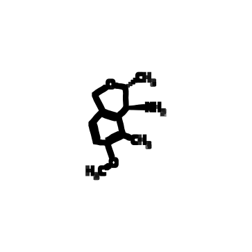 COc1ccc2c(c1C)[C@H](N)[C@@H](C)OC2